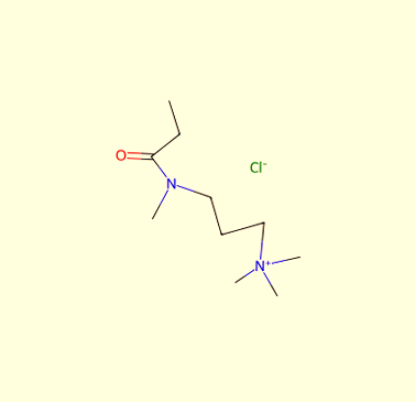 CCC(=O)N(C)CCC[N+](C)(C)C.[Cl-]